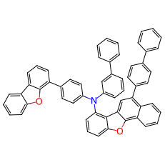 c1ccc(-c2ccc(-c3cc4c(oc5cccc(N(c6ccc(-c7cccc8c7oc7ccccc78)cc6)c6cccc(-c7ccccc7)c6)c54)c4ccccc34)cc2)cc1